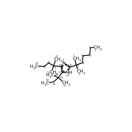 CCCCCC(C)(C)c1nc(C(C)(C)CCC)c(C(C)(C)CC)[nH]1